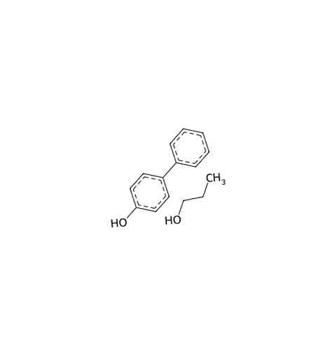 CCCO.Oc1ccc(-c2ccccc2)cc1